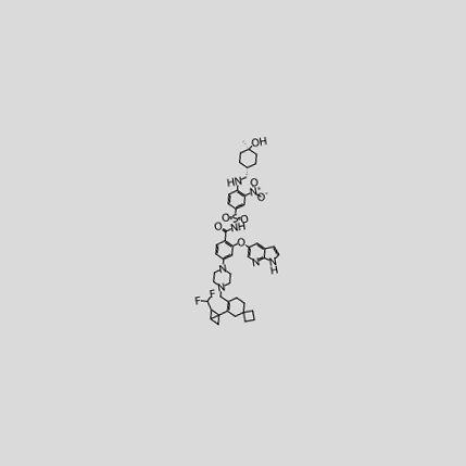 C[C@]1(O)CC[C@H](CNc2ccc(S(=O)(=O)NC(=O)c3ccc(N4CCN(CC5=C(C67CC6C7C(F)F)CC6(CCC6)CC5)CC4)cc3Oc3cnc4[nH]ccc4c3)cc2[N+](=O)[O-])CC1